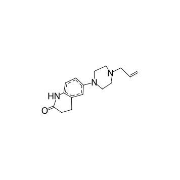 C=CCN1CCN(c2ccc3c(c2)CCC(=O)N3)CC1